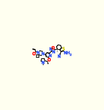 C=CC(=O)N1CCN(c2cc(O[C@@H](C)[C@@H]3CCCN3C)nc(-c3noc([C@@]4(C)CCCc5sc(N)c(C#N)c54)n3)c2)CC12CCC2